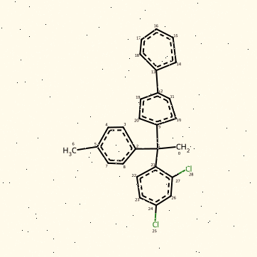 [CH2]C(c1ccc(C)cc1)(c1ccc(-c2ccccc2)cc1)c1ccc(Cl)cc1Cl